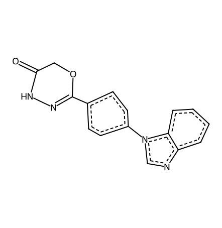 O=C1COC(c2ccc(-n3cnc4ccccc43)cc2)=NN1